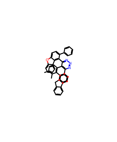 Cc1ccc(-c2c(-c3ccccc3)nnnc2-c2c(-c3ccccc3)ccc3oc4ccccc4c23)c(-c2cccc3c2Cc2ccccc2-3)c1C